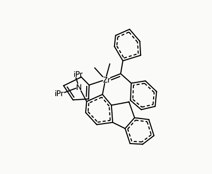 CC(C)N(c1ccc2c([c]1[Zr]([CH3])([CH3])([C]1=CC=CC1)=[C](c1ccccc1)c1ccccc1)Cc1ccccc1-2)C(C)C